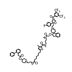 Cc1cc(CCCCCCC(=O)N(C)CCN2CCC(OC(=O)Cc3ccccc3-c3ccccc3)CC2)sc1C(=O)N(C)CCCN(C)C(=O)CO[C@H]1Cc2ccccc2C12CCN(CC[C@@]1(c3ccc(F)cc3)CN(C(=O)c3cc(C(F)(F)F)cc(C(F)(F)F)c3)CO1)CC2